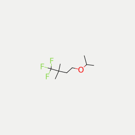 CC(C)OCCC(C)(C)C(F)(F)F